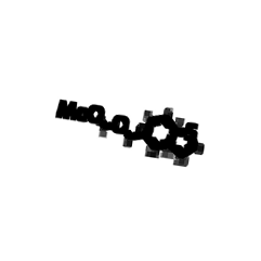 COCOCc1ccc2sccc2c1